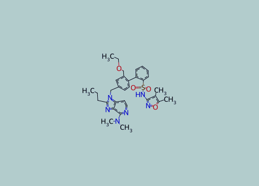 CCCc1nc2c(N(C)C)nccc2n1Cc1ccc(-c2ccccc2S(=O)(=O)Nc2noc(C)c2C)c(COCC)c1